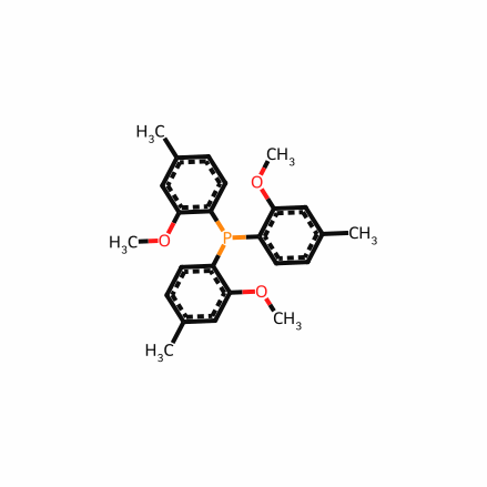 COc1cc(C)ccc1P(c1ccc(C)cc1OC)c1ccc(C)cc1OC